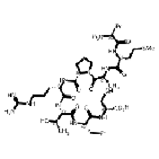 CSCC[C@H](NC(=O)[C@@H](N)C(C)C)C(=O)N[C@@H](C)C(=O)N1CCC[C@H]1C(=O)N[C@@H](CCCNC(=N)N)C(=O)N[C@H](C(=O)N[C@@H](CC(C)C)C(=O)N[C@@H](CS)C(=O)O)[C@@H](C)O